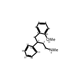 CNCCC(Cc1ccccc1OC)c1ccccc1